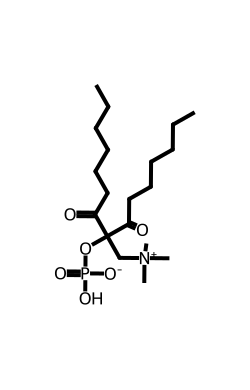 CCCCCCC(=O)C(C[N+](C)(C)C)(OP(=O)([O-])O)C(=O)CCCCCC